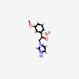 COc1cccc(C(=O)C[n+]2cc[nH]c2)c1.[Br-]